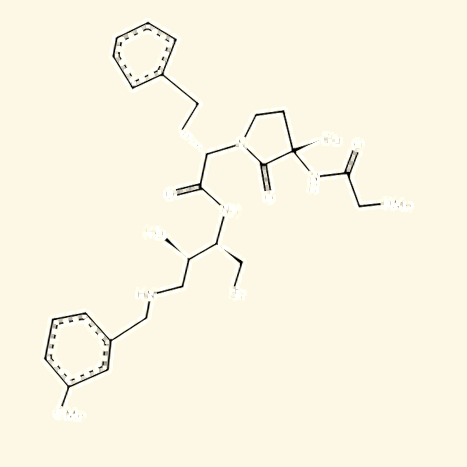 CC[C@H](C)C1(NC(=O)COC)CCN([C@@H](CCc2ccccc2)C(=O)N[C@@H](CC(C)C)[C@H](O)CNCc2cccc(OC)c2)C1=O